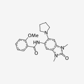 COc1ccccc1C(=O)Nc1cc2c(cc1N1CCCC1)n(C)c(=O)n2C